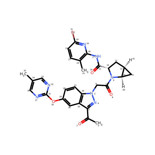 CC(=O)c1nn(CC(=O)N2[C@@H]3C[C@@H]3C[C@H]2C(=O)Nc2nc(Br)ccc2C)c2ccc(Oc3ncc(C)cn3)cc12